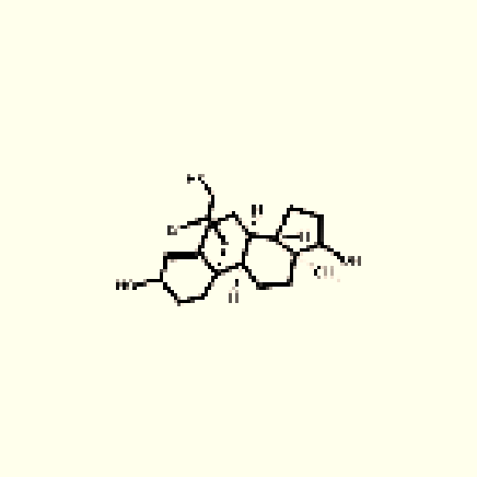 C[C@]12CC[C@@H]3[C@@H](CCC4=CC(O)CC[C@@]43CC(S)CS)[C@@H]1CCC2O